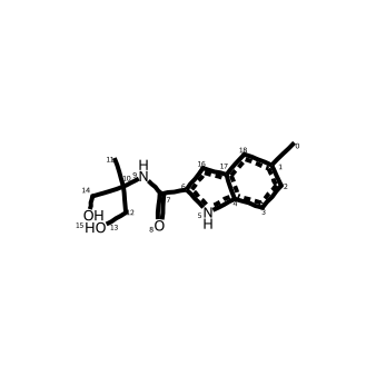 Cc1ccc2[nH]c(C(=O)NC(C)(CO)CO)cc2c1